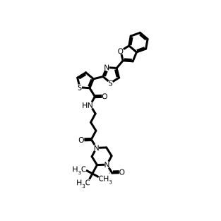 CC(C)(C)C1CN(C(=O)CCCNC(=O)c2sccc2-c2nc(-c3cc4ccccc4o3)cs2)CCN1[C]=O